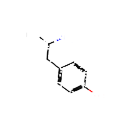 C[C@@H](N)Cc1ccc(O)cc1